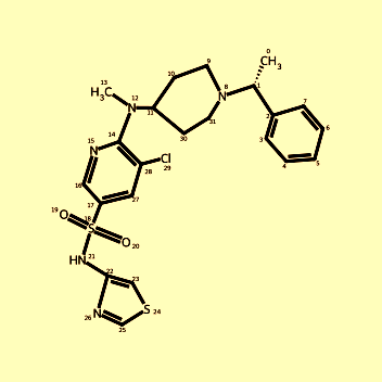 C[C@H](c1ccccc1)N1CCC(N(C)c2ncc(S(=O)(=O)Nc3cscn3)cc2Cl)CC1